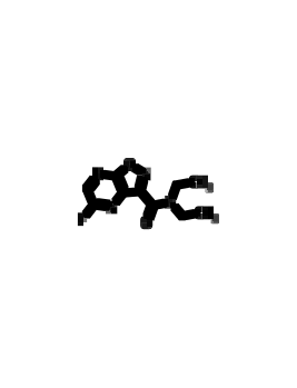 CCN(CC)C(=O)c1noc2ncc(F)nc12